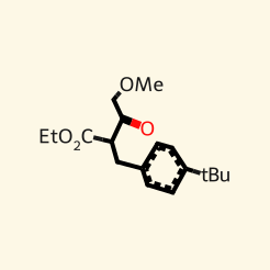 CCOC(=O)C(Cc1ccc(C(C)(C)C)cc1)C(=O)COC